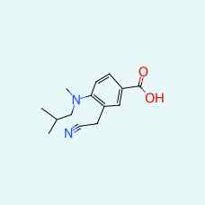 CC(C)CN(C)c1ccc(C(=O)O)cc1CC#N